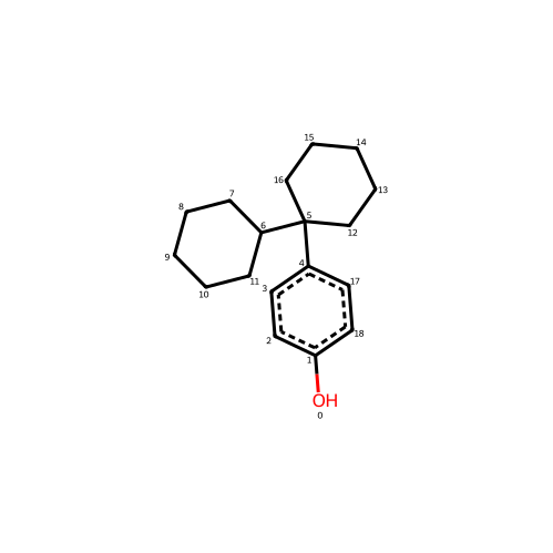 Oc1ccc(C2(C3CCCCC3)CCCCC2)cc1